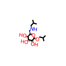 CC(C)CNC[C@H]1O[C@H](OCC(C)C)[C@H](O)[C@@H](O)[C@@H]1O